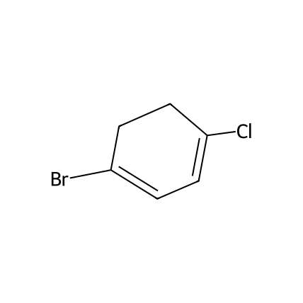 ClC1=CC=C(Br)CC1